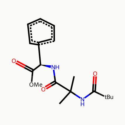 COC(=O)[C@H](NC(=O)C(C)(C)NC(=O)C(C)(C)C)c1ccccc1